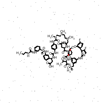 CCCNC(=O)Nc1cccc(S(=O)(=O)Nc2cccc(C(CC(=O)O)NC(=O)Nc3ccc(NC(=O)N(C)CCN(C)CCN(C)CC(=O)NC(CC(N)=O)C(=O)N4CCCC4C(=O)NC(C(=O)N=S(C)(=O)Cc4cc5cc(c4)OCCCCOc4cc(F)ccc4-c4nc(ncc4F)N5)C(C)C)cc3)c2)c1